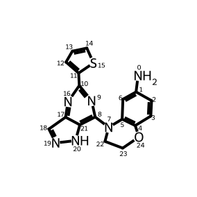 Nc1ccc2c(c1)N(c1nc(-c3cccs3)nc3cn[nH]c13)CCO2